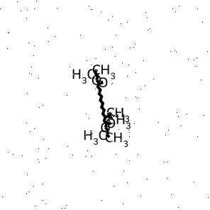 CC(C)COC(=O)CCCCCCCCCC(CC(=O)OCC(C)C)C(C)C